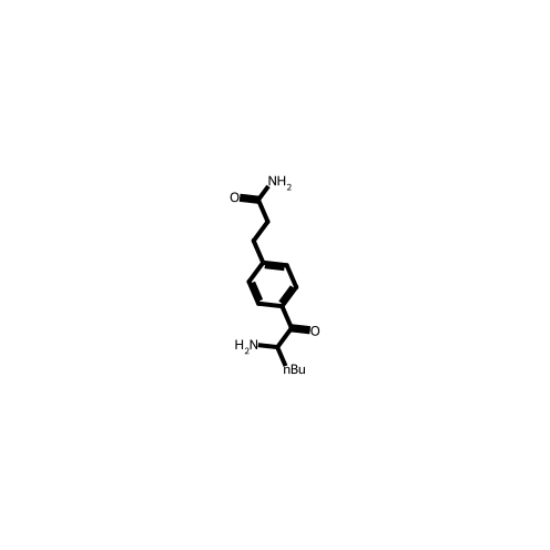 CCCCC(N)C(=O)c1ccc(CCC(N)=O)cc1